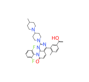 C=C(O)c1ccc(C)c(-c2nc(N3CCC(N4CCC(C)CC4)CC3)nc3c2ccc(=O)n3-c2c(F)cccc2F)c1